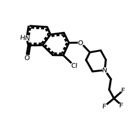 O=c1[nH]ccc2cc(OC3CCN(CCC(F)(F)F)CC3)c(Cl)cc12